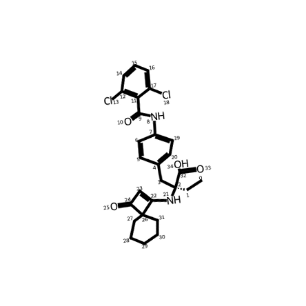 CC[C@@](Cc1ccc(NC(=O)c2c(Cl)cccc2Cl)cc1)(NC1=CC(=O)C12CCCCC2)C(=O)O